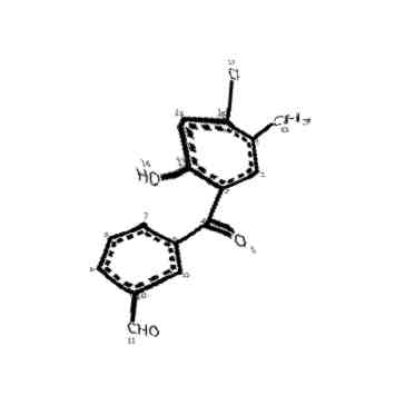 Cc1cc(C(=O)c2cccc(C=O)c2)c(O)cc1Cl